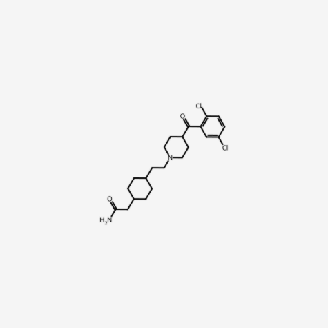 NC(=O)CC1CCC(CCN2CCC(C(=O)c3cc(Cl)ccc3Cl)CC2)CC1